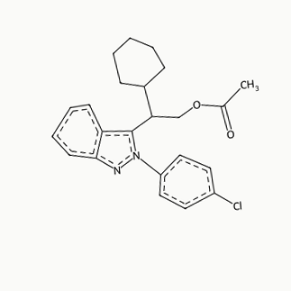 CC(=O)OCC(c1c2ccccc2nn1-c1ccc(Cl)cc1)C1CCCCC1